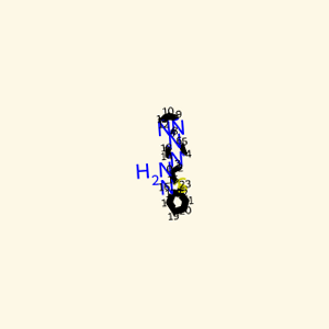 NC(CN1CCN(c2ncccn2)CC1)c1nc2ccccc2s1